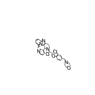 O=C(COc1ccc(CN2CCOCC2)cc1Cl)N1CCc2nc3ccccn3c2C1c1cccnc1F